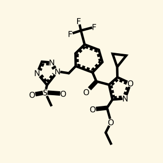 CCOC(=O)c1noc(C2CC2)c1C(=O)c1ccc(C(F)(F)F)cc1Cn1ncnc1S(C)(=O)=O